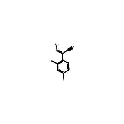 N#CC(=NO)c1ccc(F)cc1Cl